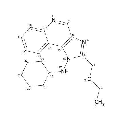 CCOCc1nc2cnc3ccccc3c2n1NC1CCCCC1